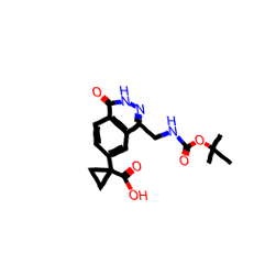 CC(C)(C)OC(=O)NCc1n[nH]c(=O)c2ccc(C3(C(=O)O)CC3)cc12